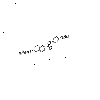 CCCCCC1CCc2cc(C(=O)Oc3ccc(CCCC)cc3)ccc2C1